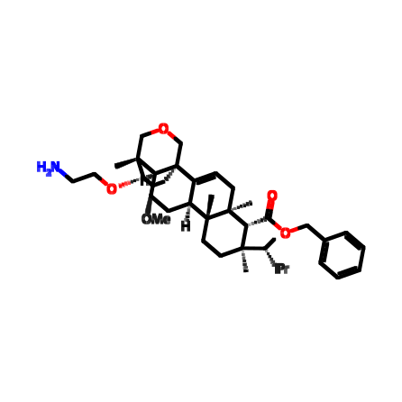 CO[C@@H]1C[C@@]23COC[C@](C)([C@@H]2CC[C@H]2C3=CC[C@@]3(C)[C@H](C(=O)OCc4ccccc4)[C@@](C)([C@H](C)C(C)C)CC[C@]23C)[C@H]1OCCN